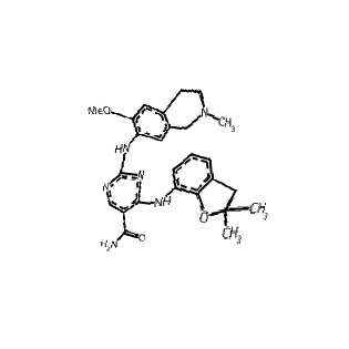 COc1cc2c(cc1Nc1ncc(C(N)=O)c(Nc3cccc4c3OC(C)(C)C4)n1)CN(C)CC2